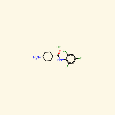 Cl.N[C@H]1CC[C@H](C(=O)Nc2c(F)cc(F)cc2Cl)CC1